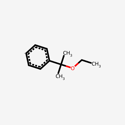 CCOC(C)(C)c1cc[c]cc1